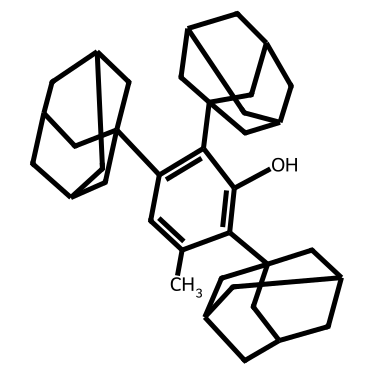 Cc1cc(C23CC4CC(CC(C4)C2)C3)c(C23CC4CC(CC(C4)C2)C3)c(O)c1C12CC3CC(CC(C3)C1)C2